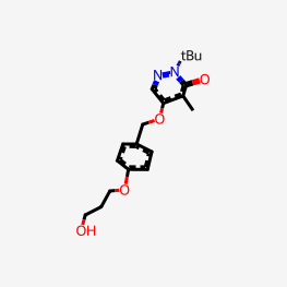 Cc1c(OCc2ccc(OCCCO)cc2)cnn(C(C)(C)C)c1=O